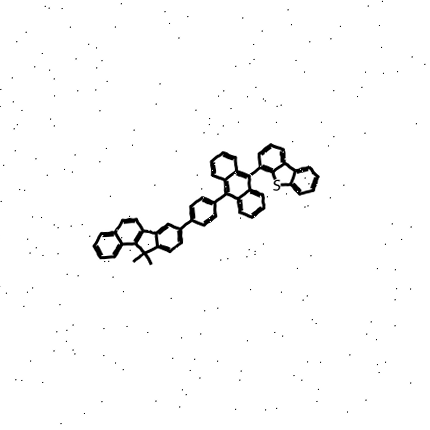 CC1(C)c2ccc(-c3ccc(-c4c5ccccc5c(-c5cccc6c5sc5ccccc56)c5ccccc45)cc3)cc2-c2ccc3ccccc3c21